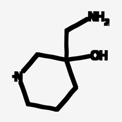 NCC1(O)CCC[N]C1